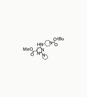 COC(=O)c1cc(NC2CCN(C(=O)OC(C)(C)C)CC2)nc(N2CCCC2)n1